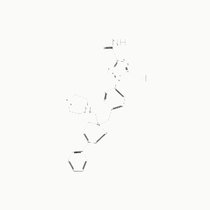 Cc1nc(C(N)=O)nn1-c1ccc(CC2(CN3CCNCC3)C=CC(c3ccccc3)=CC2)cc1